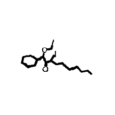 CCCCCCCC(I)C(=O)C(OCI)C1CCCCC1